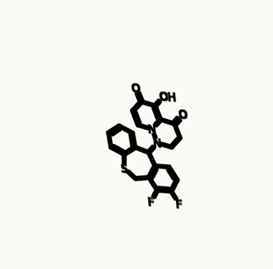 O=C1CCN(C2c3ccccc3SCc3c2ccc(F)c3F)n2ccc(=O)c(O)c21